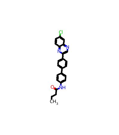 CCCC(=O)Nc1ccc(-c2ccc(-c3cnc4cc(Cl)ccc4n3)cc2)cc1